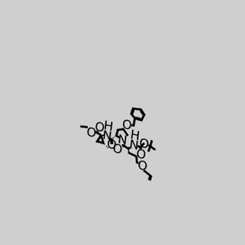 C=CCOCCC[C@H](NC(=O)OC(C)(C)C)C(=O)N1C[C@H](OCc2ccccc2)C[C@H]1C(=O)N[C@]1(C(=O)OCC)C[C@H]1C